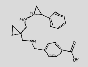 O=C(O)c1ccc(CNCC2(CN[C@H]3CC3c3ccccc3)CC2)cc1